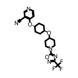 N#Cc1cnccc1O[C@H]1CC[C@H](OC2CCN(c3nc(C(F)(F)F)no3)CC2)CC1